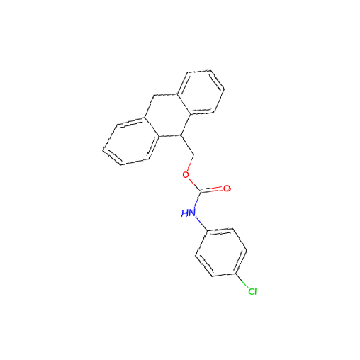 O=C(Nc1ccc(Cl)cc1)OCC1c2ccccc2Cc2ccccc21